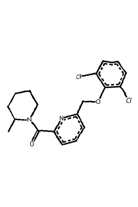 CC1CCCCN1C(=O)c1cccc(COc2c(Cl)cccc2Cl)n1